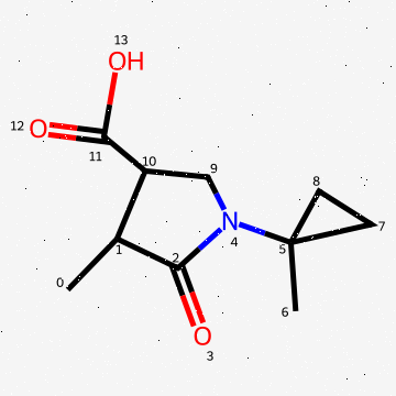 CC1C(=O)N(C2(C)CC2)CC1C(=O)O